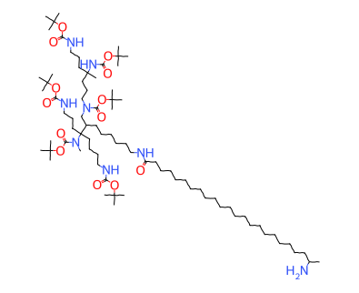 CC(N)CCCCCCCCCCCCCCCCCCCCCC(=O)NCCCCCCC(CN(CCCC(C)(CCCNC(=O)OC(C)(C)C)NC(=O)OC(C)(C)C)C(=O)OC(C)(C)C)C(CCCCNC(=O)OC(C)(C)C)(CCCNC(=O)OC(C)(C)C)N(C)C(=O)OC(C)(C)C